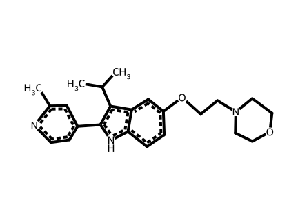 Cc1cc(-c2[nH]c3ccc(OCCN4CCOCC4)cc3c2C(C)C)ccn1